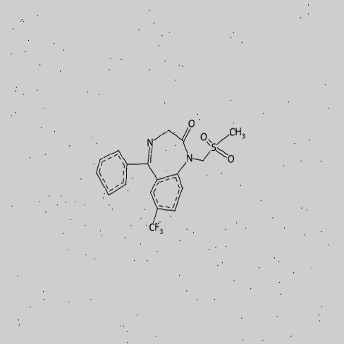 CS(=O)(=O)CN1C(=O)CN=C(c2ccccc2)c2cc(C(F)(F)F)ccc21